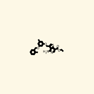 CCOC(=O)c1cnc(N)c2c(COc3cc(C)cc(OCc4ccccc4C)c3)csc12